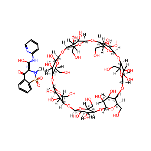 CN1/C(=C(/O)Nc2ccccn2)C(=O)c2ccccc2S1(=O)=O.OC[C@H]1O[C@@H]2O[C@H]3[C@H](O)[C@@H](O)[C@@H](O[C@H]4[C@H](O)[C@@H](O)[C@@H](O[C@H]5[C@H](O)[C@@H](O)[C@@H](O[C@H]6[C@H](O)[C@@H](O)[C@@H](O[C@H]7[C@H](O)[C@@H](O)[C@@H](O[C@H]8[C@H](O)[C@@H](O)[C@@H](O[C@H]1[C@H](O)[C@H]2O)O[C@@H]8CO)O[C@@H]7CO)O[C@@H]6CO)O[C@@H]5CO)O[C@@H]4CO)O[C@@H]3CO